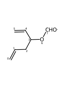 C=CCC(C=C)O[C]=O